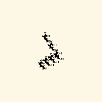 CC(=CCCO)C(=O)O.CC(=CCCO)C(=O)O.CC(=CCCO)C(=O)O.CC(=CCCO)C(=O)O.CC(=CCCO)C(=O)O.CC(=CCCO)C(=O)O